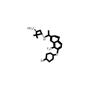 CCC1CCC(Oc2ccc3ccc(C(C)N[C@H]4C[C@H](C(=O)O)C4(C)C)cc3c2C(F)(F)F)CC1